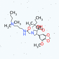 CCCC[N+](C)(C)CCCCNC(=O)CN1C[C@H](c2cc(OC)c3c(c2)OCO3)[C@H](C(=O)O)[C@H]1CC(C)(C)CCC